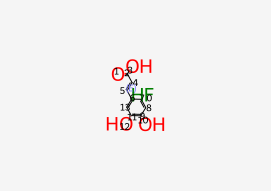 F.O=C(O)/C=C/c1ccc(O)c(O)c1